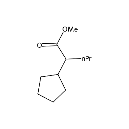 CCCC(C(=O)OC)C1CCCC1